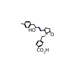 Cc1ccc(CC(O)/C=C/[C@H]2CCC(=O)[C@@H]2CCc2ccc(C(=O)O)cc2)cc1